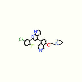 Fc1ccc(Cl)cc1-c1cc(-c2ccc(OCCN3CCCC3)c3cnccc23)c2cccnc2n1